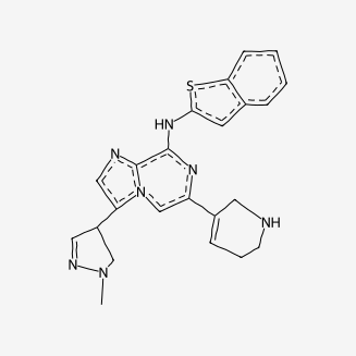 CN1CC(c2cnc3c(Nc4cc5ccccc5s4)nc(C4=CCCNC4)cn23)C=N1